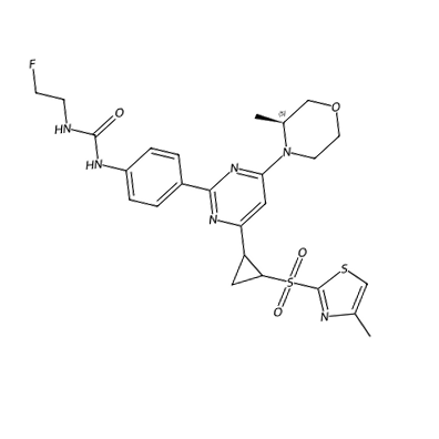 Cc1csc(S(=O)(=O)C2CC2c2cc(N3CCOC[C@@H]3C)nc(-c3ccc(NC(=O)NCCF)cc3)n2)n1